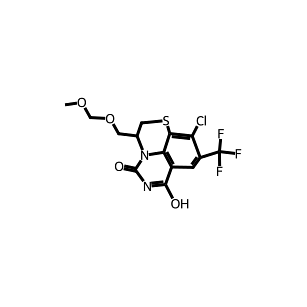 COCOCC1CSc2c(Cl)c(C(F)(F)F)cc3c(O)nc(=O)n1c23